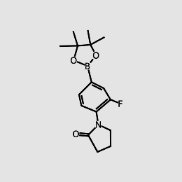 CC1(C)OB(c2ccc(N3CCCC3=O)c(F)c2)OC1(C)C